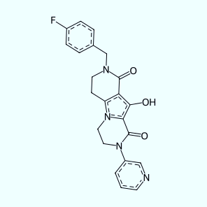 O=C1c2c(O)c3n(c2CCN1Cc1ccc(F)cc1)CCN(c1cccnc1)C3=O